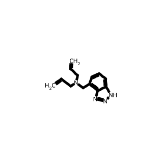 C=CCN(CC=C)Cc1cccc2[nH]nnc12